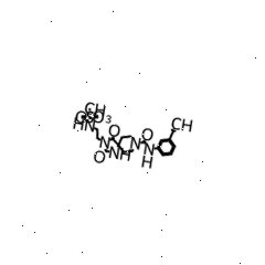 C#Cc1cccc(NC(=O)N2CCC3(CC2)NC(=O)N(CCNS(C)(=O)=O)C3=O)c1